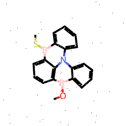 COB1c2ccccc2N2c3ccccc3B(SC)c3cccc1c32